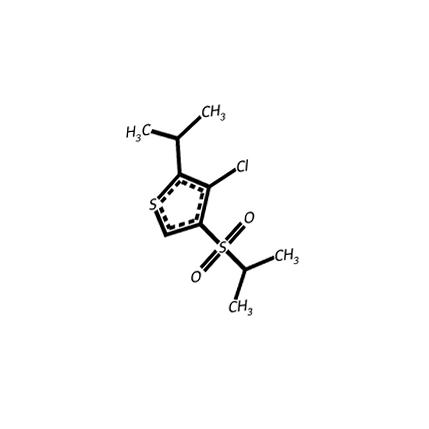 CC(C)c1scc(S(=O)(=O)C(C)C)c1Cl